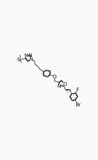 C[Si](C)(C)c1cn(CCCCc2ccc(OCc3coc(/C=C/c4ccc(Br)cc4F)n3)cc2)nn1